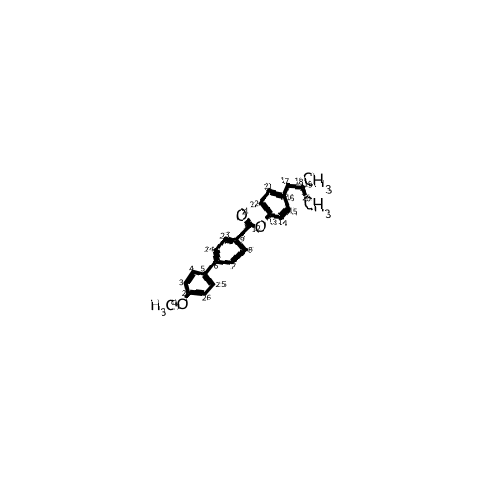 COc1ccc(-c2ccc(C(=O)Oc3ccc(CC(C)C)cc3)cc2)cc1